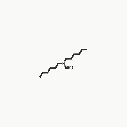 CCCCCCN([C]=O)CCCCCC